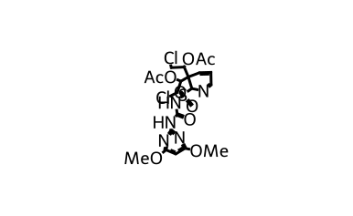 COc1cc(OC)nc(NC(=O)NS(=O)(=O)C2N=CC=CC2(C(CCl)OC(C)=O)C(CCl)OC(C)=O)n1